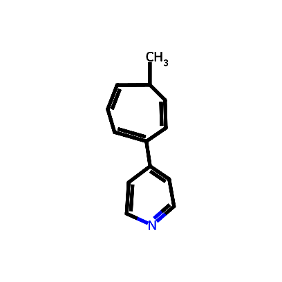 CC1C=CC=C(c2ccncc2)C=C1